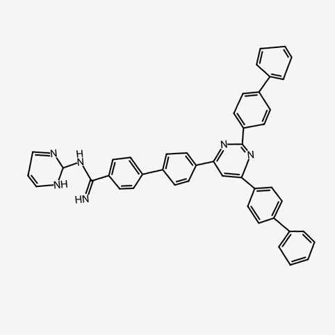 N=C(NC1N=CC=CN1)c1ccc(-c2ccc(-c3cc(-c4ccc(-c5ccccc5)cc4)nc(-c4ccc(-c5ccccc5)cc4)n3)cc2)cc1